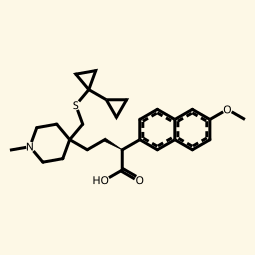 COc1ccc2cc([C@H](CCC3(CSC4(C5CC5)CC4)CCN(C)CC3)C(=O)O)ccc2c1